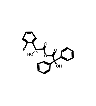 O=C(OC(=O)C(O)(c1ccccc1)c1ccccc1)[C@H](O)c1ccccc1F